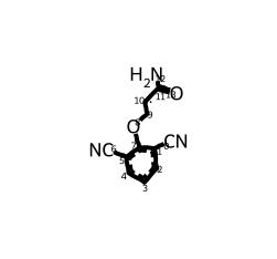 N#Cc1cccc(C#N)c1OC[CH]C(N)=O